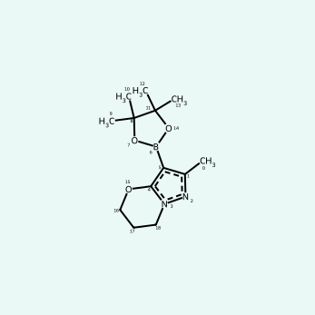 Cc1nn2c(c1B1OC(C)(C)C(C)(C)O1)OCCC2